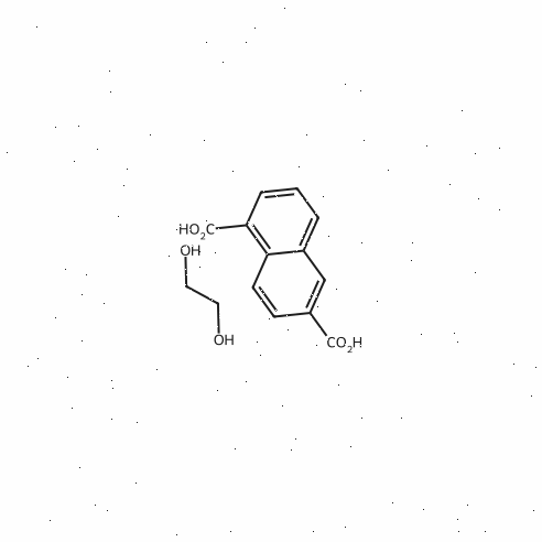 O=C(O)c1ccc2c(C(=O)O)cccc2c1.OCCO